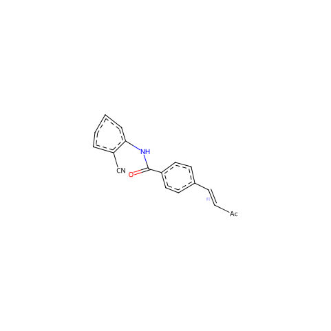 CC(=O)/C=C/c1ccc(C(=O)Nc2ccccc2C#N)cc1